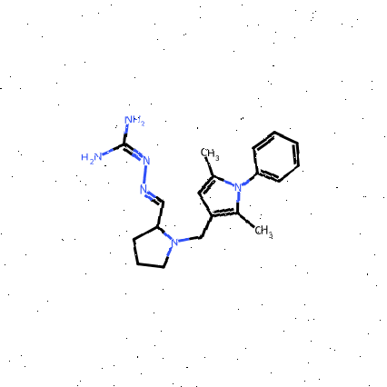 Cc1cc(CN2CCCC2/C=N/N=C(N)N)c(C)n1-c1ccccc1